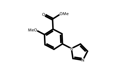 COC(=O)c1cc(-n2ccnc2)ccc1OC